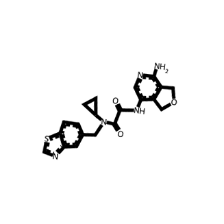 Nc1ncc(NC(=O)C(=O)N(Cc2ccc3scnc3c2)C2CC2)c2c1COC2